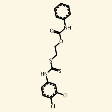 O=C(Nc1ccccc1)OCCSC(=S)Nc1ccc(Cl)c(Cl)c1